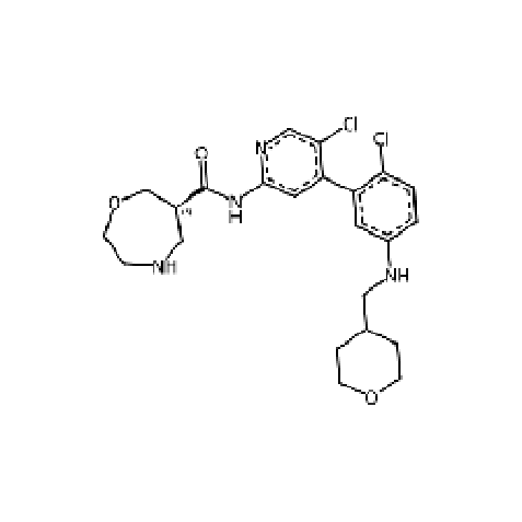 O=C(Nc1cc(-c2cc(NCC3CCOCC3)ccc2Cl)c(Cl)cn1)[C@H]1CNCCOC1